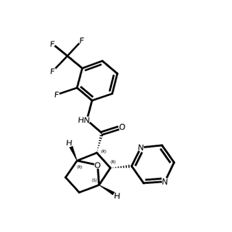 O=C(Nc1cccc(C(F)(F)F)c1F)[C@@H]1[C@H](c2cnccn2)[C@@H]2CC[C@H]1O2